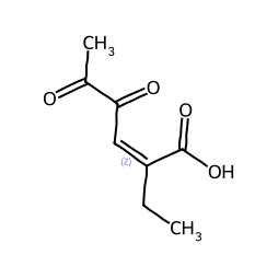 CC/C(=C/C(=O)C(C)=O)C(=O)O